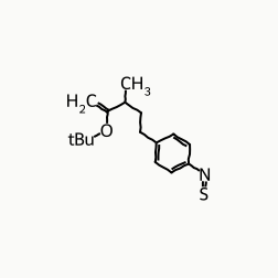 C=C(OC(C)(C)C)C(C)CCc1ccc(N=S)cc1